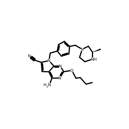 CCCCOc1nc(N)c2cc(C#N)n(Cc3ccc(CN4CCN[C@H](C)C4)cc3)c2n1